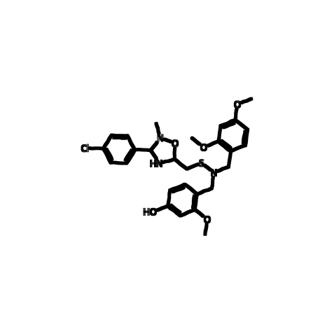 COc1ccc(CN(Cc2ccc(O)cc2OC)SCC2NC(c3ccc(Cl)cc3)N(C)O2)c(OC)c1